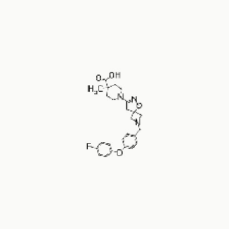 CC1(C(=O)O)CCN(C2=NOC3(C2)CN(Cc2ccc(Oc4ccc(F)cc4)cc2)C3)CC1